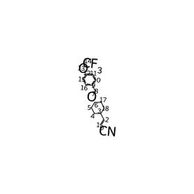 N#CC=CC1CCC(OCc2ccc(OC(F)(F)F)cc2)CC1